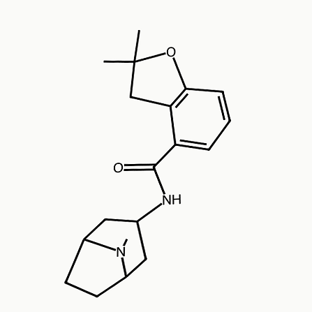 CN1C2CCC1CC(NC(=O)c1cccc3c1CC(C)(C)O3)C2